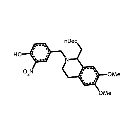 CCCCCCCCCCCC1c2cc(OC)c(OC)cc2CCN1Cc1ccc(O)c([N+](=O)[O-])c1